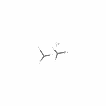 FC(F)F.FC(F)F.[Co]